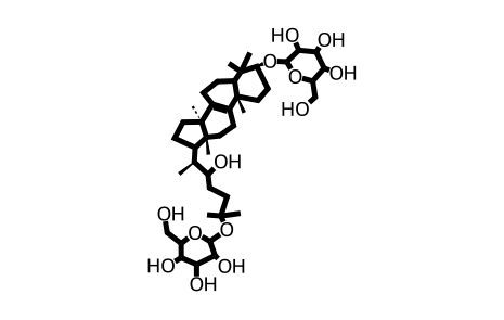 C[C@H](C(O)CCC(C)(C)OC1OC(CO)C(O)C(O)C1O)C1CC[C@@]2(C)C3=C(CC[C@]12C)[C@@]1(C)CC[C@H](OC2OC(CO)C(O)C(O)C2O)C(C)(C)C1CC3